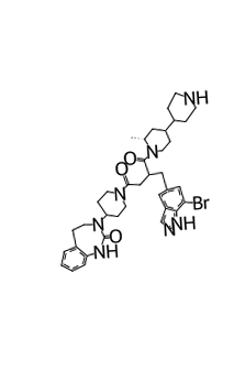 C[C@@H]1CC(C2CCNCC2)CCN1C(=O)C(CC(=O)N1CCC(N2CCc3ccccc3NC2=O)CC1)Cc1cc(Br)c2[nH]ncc2c1